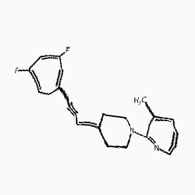 Cc1cccnc1N1CCC(=CC#Cc2cc(F)cc(F)c2)CC1